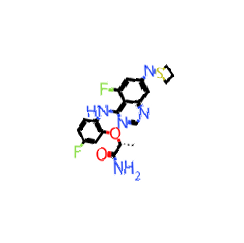 C[C@@H](Oc1cc(F)ccc1Nc1ncnc2cc(N=S3CCC3)cc(F)c12)C(N)=O